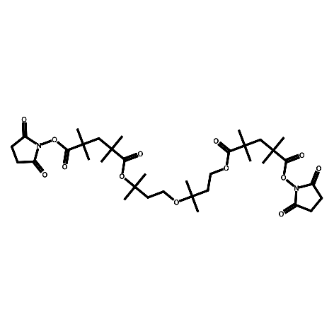 CC(C)(CCOC(=O)C(C)(C)CC(C)(C)C(=O)ON1C(=O)CCC1=O)OCCC(C)(C)OC(=O)C(C)(C)CC(C)(C)C(=O)ON1C(=O)CCC1=O